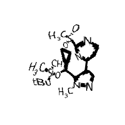 Cn1ncc(-c2ccnc(S(C)(=O)=O)n2)c1C(O[Si](C)(C)C(C)(C)C)C1CC1